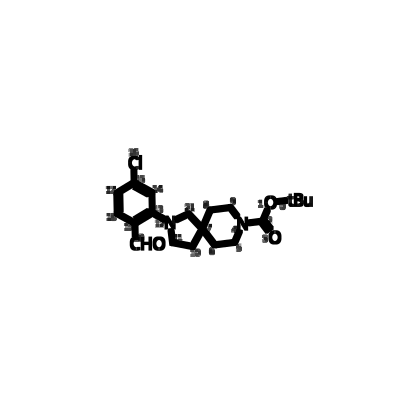 CC(C)(C)OC(=O)N1CCC2(CC1)CCN(c1cc(Cl)ccc1C=O)C2